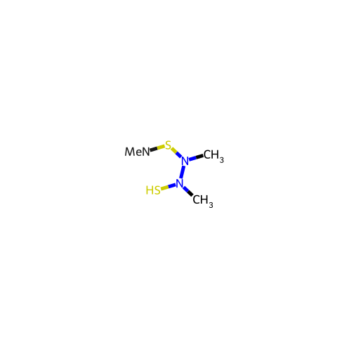 CNSN(C)N(C)S